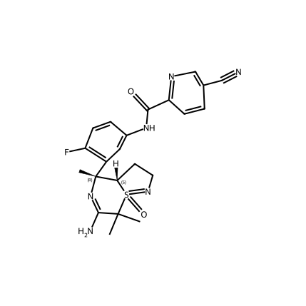 CC1(C)C(N)=N[C@](C)(c2cc(NC(=O)c3ccc(C#N)cn3)ccc2F)[C@@H]2CCN=S21=O